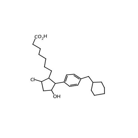 O=C(O)CCCCCCC1C(Cl)CC(O)C1c1ccc(CC2CCCCC2)cc1